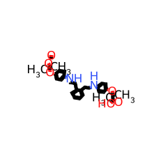 CC(C)(OC=O)Oc1ccc(NCCc2ccccc2CCNc2ccc(OC(C)(C)C(=O)O)cc2)cc1